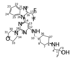 CC(C)(O)CN[C@H]1CC[C@H](CNc2cc(-n3c(C(F)F)nc4ccccc43)nc(N3CCOCC3)n2)CC1